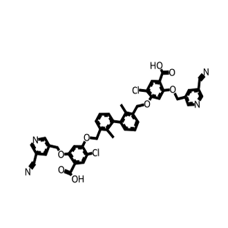 Cc1c(COc2cc(OCc3cncc(C#N)c3)c(C(=O)O)cc2Cl)cccc1-c1cccc(COc2cc(OCc3cncc(C#N)c3)c(C(=O)O)cc2Cl)c1C